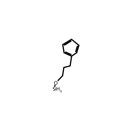 [SiH3]OCCCc1ccccc1